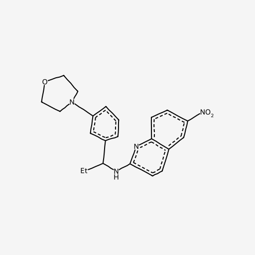 CCC(Nc1ccc2cc([N+](=O)[O-])ccc2n1)c1cccc(N2CCOCC2)c1